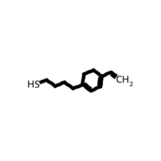 C=CC1=CC=C(CCCCS)CC1